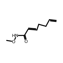 C=CCC/C=C/C(=O)NOC